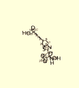 CC(CCc1nc2ccc(C#CC#CC3(CO)COC3)cc2s1)(C(=O)NO)S(C)(=O)=O